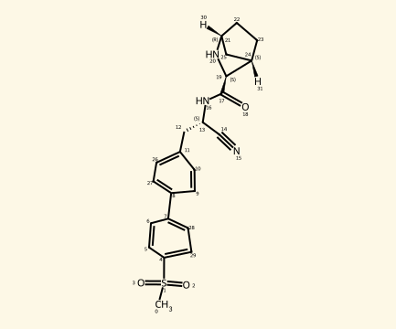 CS(=O)(=O)c1ccc(-c2ccc(C[C@@H](C#N)NC(=O)[C@H]3N[C@@H]4CC[C@H]3C4)cc2)cc1